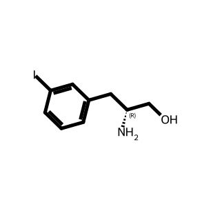 N[C@@H](CO)Cc1cccc(I)c1